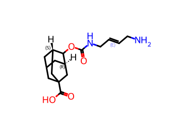 NC/C=C/CNC(=O)OC1[C@@H]2CC3C[C@H]1CC(C(=O)O)(C3)C2